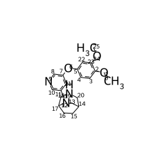 COc1ccc(Oc2cncc(N3CC4CCC3CNC4)c2)cc1OC